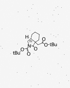 CC(C)(C)OC(=O)CC12CCCC[C@@H]1CN(C(=O)OC(C)(C)C)C2=O